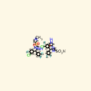 CN1CCC(S(=O)(=O)c2c[nH]c(C(c3ccc(F)c(F)c3)c3ccc(F)c(Cl)c3)n2)C1.O=S(=O)(O)c1cn(C2CCNC2)c(C(c2ccc(F)c(F)c2)c2ccc(F)c(Cl)c2)n1